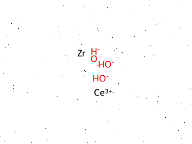 [Ce+3].[OH-].[OH-].[OH-].[Zr]